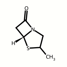 CC1CN2C(=O)C[C@H]2S1